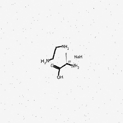 C[C@H](N)C(=O)O.NCCN.[NaH]